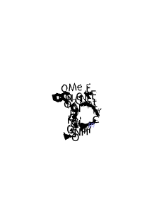 CC[C@@H]1C[C@H](C)CC/C=C\[C@@H]2C[C@@]2(C(=O)NS(=O)(=O)C2CC2)NC(=O)[C@@H]2C[C@@H](Oc3ncc(OC)c4ccccc34)CN2C(=O)[C@H]1N(C(=O)O)C(C)(C)C(F)F